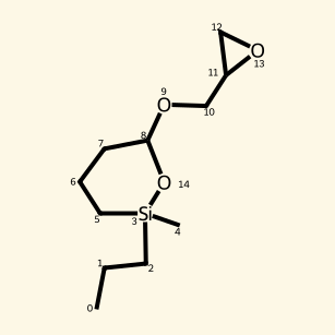 CCC[Si]1(C)CCCC(OCC2CO2)O1